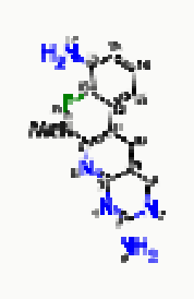 CNc1nc2nc(N)ncc2cc1-c1cccc(N)c1F